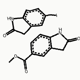 COC(=O)c1ccc2c(c1)CC(=O)N2.O=C1Cc2cc(I)ccc2N1